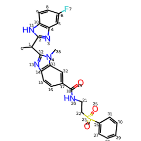 CC(c1nc2cc(F)ccc2[nH]1)c1nc2ccc(C(=O)NCCS(=O)(=O)c3ccccc3)cc2n1C